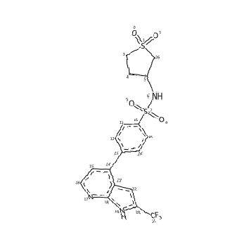 O=S1(=O)CCC(NS(=O)(=O)c2ccc(-c3ccnc4[nH]c(C(F)(F)F)cc34)cc2)C1